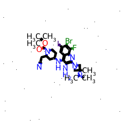 CN(C)C1(C)CN(c2nc3c(F)c(Br)c(I)cc3c(NC3CCN(C(=O)OC(C)(C)C)C(CC#N)C3)c2N)C1